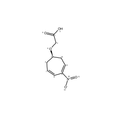 O=C(O)CO[C@@H]1CC=CC([N+](=O)[O-])=CC1